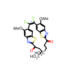 COc1cc2nc(C(=O)CCC(=O)O)sc2cc1/C(F)=C(/F)c1cc2sc(C(=O)CCC(=O)O)nc2cc1OC